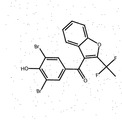 CC(F)(F)c1oc2ccccc2c1C(=O)c1cc(Br)c(O)c(Br)c1